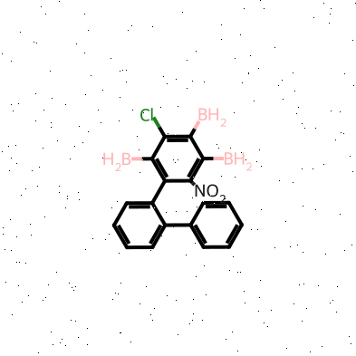 Bc1c(B)c([N+](=O)[O-])c(-c2ccccc2-c2ccccc2)c(B)c1Cl